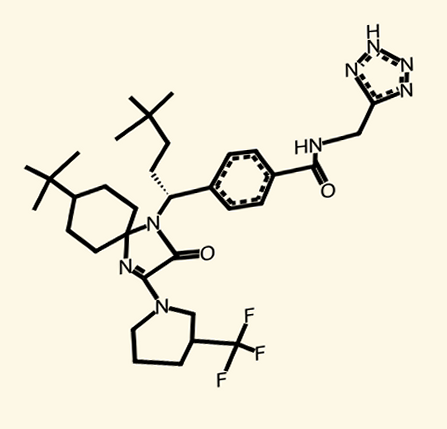 CC(C)(C)CC[C@H](c1ccc(C(=O)NCc2nn[nH]n2)cc1)N1C(=O)C(N2CCCC(C(F)(F)F)C2)=NC12CCC(C(C)(C)C)CC2